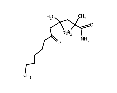 CCCCCCC(=O)CC(C)(C)CC(C)(C)C(N)=O